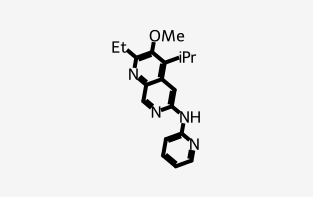 CCc1nc2cnc(Nc3ccccn3)cc2c(C(C)C)c1OC